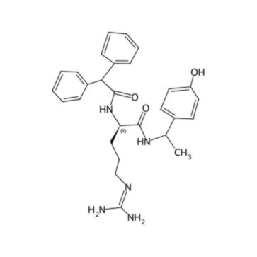 CC(NC(=O)[C@@H](CCCN=C(N)N)NC(=O)C(c1ccccc1)c1ccccc1)c1ccc(O)cc1